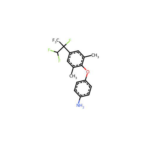 Cc1cc(C(F)(C(F)F)C(F)(F)F)cc(C)c1Oc1ccc(N)cc1